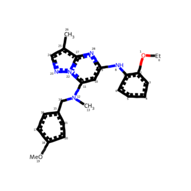 CCOc1ccccc1Nc1cc(N(C)Cc2ccc(OC)cc2)n2ncc(C)c2n1